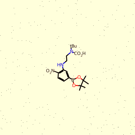 CC(C)(C)N(CCNc1cc(B2OC(C)(C)C(C)(C)O2)ccc1[N+](=O)[O-])C(=O)O